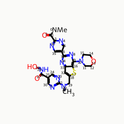 CNC(=O)c1ncc(-c2nc(N3CCOCC3)c3sc(CN(C)c4ncc(C(=O)NO)cn4)cc3n2)cn1